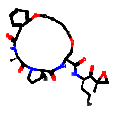 CC(C)CC[C@H](NC(=O)[C@@H]1COCCCCOc2ccccc2C(=O)N[C@@H](C)C(=O)N2CCC[C@H]2C(=O)N1)C(=O)[C@@]1(C)CO1